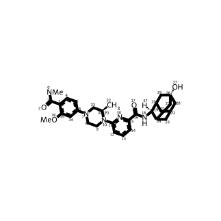 CNC(=O)c1ccc(N2CCN(c3cccc(C(=O)N[C@H]4C5CC6CC4C[C@](O)(C6)C5)n3)[C@H](C)C2)cc1OC